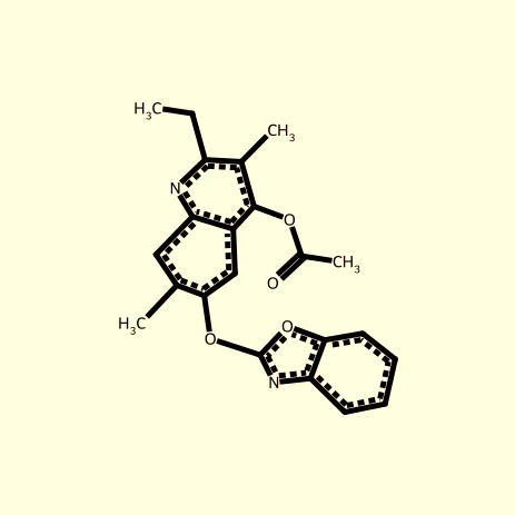 CCc1nc2cc(C)c(Oc3nc4ccccc4o3)cc2c(OC(C)=O)c1C